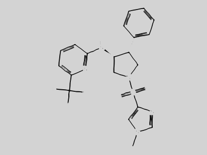 Cn1cnc(S(=O)(=O)N2C[C@@H](Nc3cccc(C(F)(F)F)n3)[C@H](c3ccccc3)C2)c1